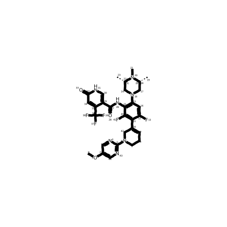 COc1cnc(N2CCC=C(c3c(F)cc(N4C[C@@H](C)N(C)[C@@H](C)C4)c(NC(=O)c4c[nH]c(=O)cc4C(F)(F)F)c3F)C2)nc1